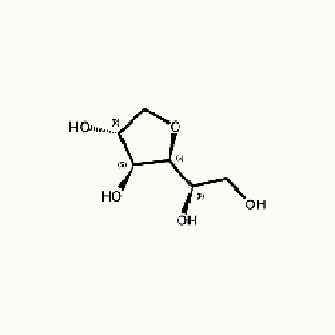 OC[C@@H](O)[C@@H]1OC[C@@H](O)[C@@H]1O